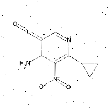 NC1C(=C=O)C=NC(C2CC2)=C1[N+](=O)[O-]